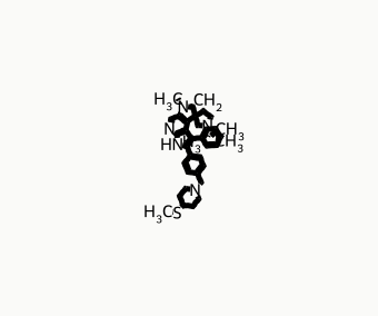 C=C1N(C)c2cnc3[nH]c(-c4ccc(CN5CCC(SC)CC5)cc4)c(-c4ccccc4)c3c2C12CCN(C(C)(C)C)C2